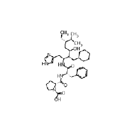 CC[C@@H](C[C@@H](O)[C@@H](CC1CCCCC1)[C@H](Cc1c[nH]cn1)NC(=O)[C@H](Cc1ccccc1)NC(=O)[C@H]1CCCN1C(=O)O)C(C)C